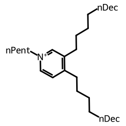 CCCCCCCCCCCCCCc1cc[n+](CCCCC)cc1CCCCCCCCCCCCCC